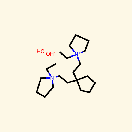 CC[N+]1(CCC2(CC[N+]3(CC)CCCC3)CCCC2)CCCC1.[OH-].[OH-]